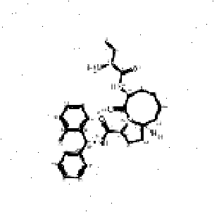 CC[C@H](N)C(=O)N[C@H]1CCCC[C@H]2CC[C@@H](C(=O)N[C@H](c3ccccc3)c3ccccc3C)N2C1=O